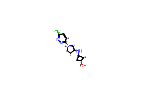 O[C@H]1C[C@@H](NC2CCN(c3ccc(Cl)nn3)C2)C1